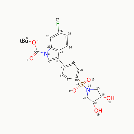 CC(C)(C)OC(=O)n1cc(-c2ccc(S(=O)(=O)N3CC(O)C(O)C3)cc2)c2ccc(F)cc21